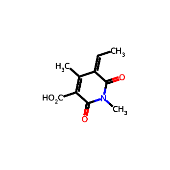 CC=C1C(=O)N(C)C(=O)C(C(=O)O)=C1C